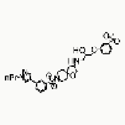 CCCn1cc(-c2cccc(S(=O)(=O)N3CCC4(CC3)CC(NC[C@H](O)COc3cccc(S(C)(=O)=O)c3)CO4)c2)cn1